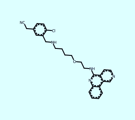 N#CCc1ccc(Cl)c(CNCCCCOCCNc2nc3ccccc3c3cnccc23)c1